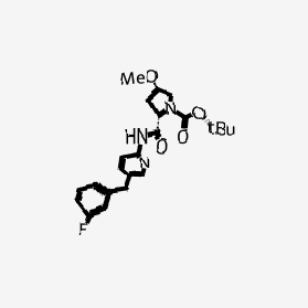 CO[C@H]1C[C@@H](C(=O)Nc2ccc(Cc3cccc(F)c3)cn2)N(C(=O)OC(C)(C)C)C1